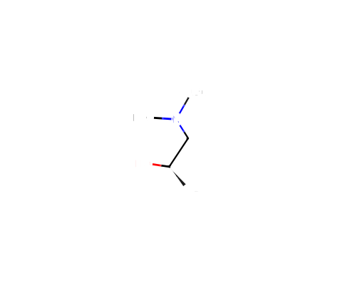 CN(C[C@H](O)C(F)(F)F)C(C)(C)C